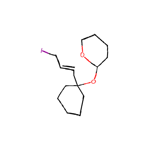 ICC=CC1(OC2CCCCO2)CCCCC1